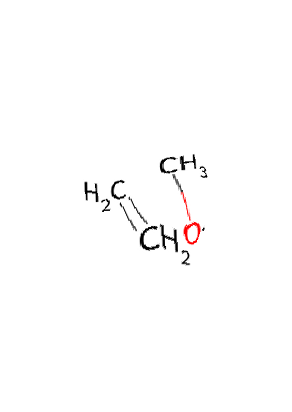 C=C.C[O]